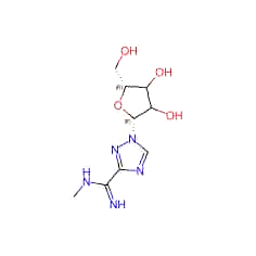 CNC(=N)c1ncn([C@@H]2O[C@H](CO)C(O)C2O)n1